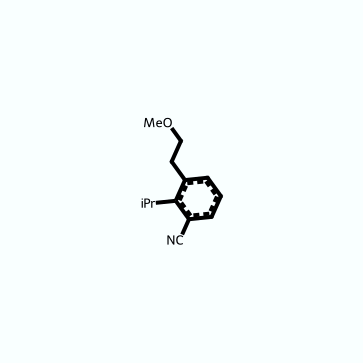 COCCc1cccc(C#N)c1C(C)C